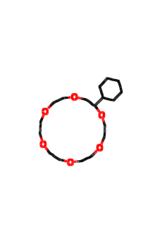 C1CCC(C2COCCOCCOCCOCCOCCO2)CC1